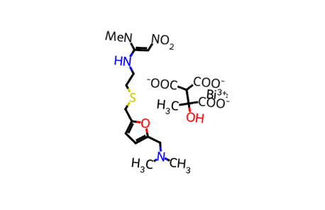 CC(O)(C(=O)[O-])C(C(=O)[O-])C(=O)[O-].CNC(=C[N+](=O)[O-])NCCSCc1ccc(CN(C)C)o1.[Bi+3]